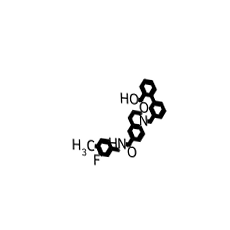 Cc1ccc(CNC(=O)c2ccc3c(c2)CCCN3Cc2cccc(-c3ccccc3C(=O)O)c2)cc1F